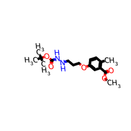 COC(=O)c1cc(OCCCNNC(=O)OC(C)(C)C)ccc1C